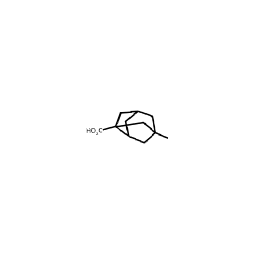 CC12CC3CC(C1)C(C(=O)O)(C3)C2